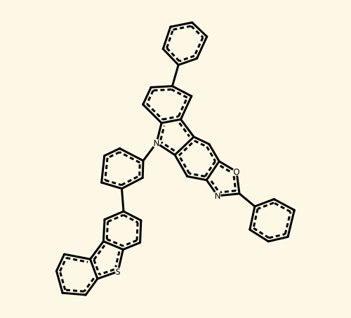 c1ccc(-c2ccc3c(c2)c2cc4oc(-c5ccccc5)nc4cc2n3-c2cccc(-c3ccc4sc5ccccc5c4c3)c2)cc1